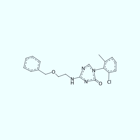 Cc1cccc(Cl)c1-n1cnc(NCCOCc2ccccc2)nc1=O